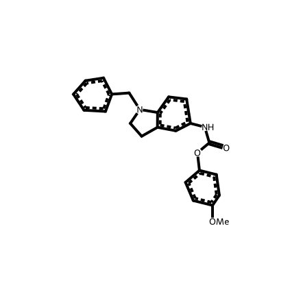 COc1ccc(OC(=O)Nc2ccc3c(c2)CCN3Cc2ccccc2)cc1